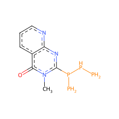 Cn1c(P(P)PP)nc2ncccc2c1=O